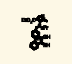 CCCN(Cc1ccc(-c2ccccc2C(=N)NO)cc1)c1c(C(=O)OCC)cnn1C